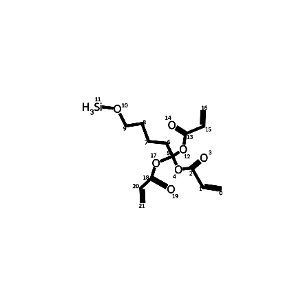 C=CC(=O)OC(CCCCO[SiH3])(OC(=O)C=C)OC(=O)C=C